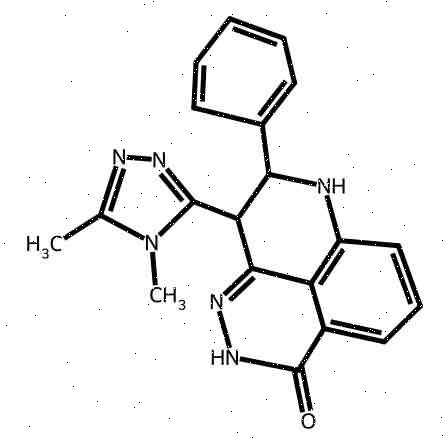 Cc1nnc(C2c3n[nH]c(=O)c4cccc(c34)NC2c2ccccc2)n1C